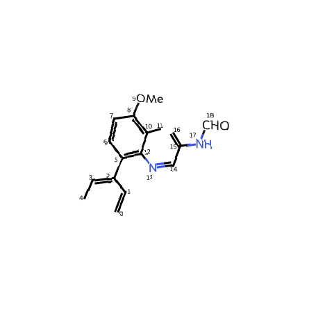 C=C/C(=C\C)c1ccc(OC)c(C)c1/N=C\C(=C)NC=O